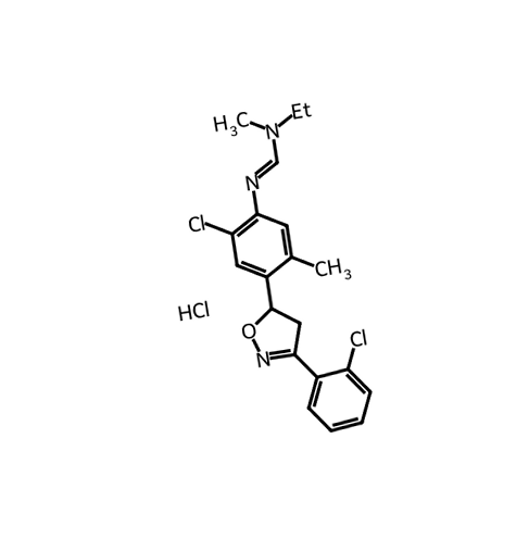 CCN(C)C=Nc1cc(C)c(C2CC(c3ccccc3Cl)=NO2)cc1Cl.Cl